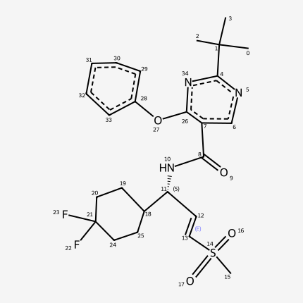 CC(C)(C)c1ncc(C(=O)N[C@H](/C=C/S(C)(=O)=O)C2CCC(F)(F)CC2)c(Oc2ccccc2)n1